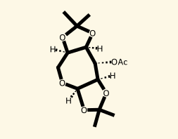 CC(=O)O[C@@H]1[C@H]2OC(C)(C)O[C@H]2OC[C@H]2OC(C)(C)O[C@@H]12